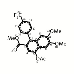 COC(=O)c1cc(OC(C)=O)c2cc(OC)c(OC)cc2c1-c1ccc(C(F)(F)F)cc1